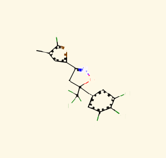 Cc1cc(C2=NOC(c3cc(Cl)c(Cl)c(Cl)c3)(C(F)(F)F)C2)sc1Br